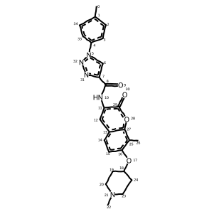 Cc1ccc(-n2cc(C(=O)Nc3cc4ccc(OC5CCN(C)CC5)c(C)c4oc3=O)nn2)cc1